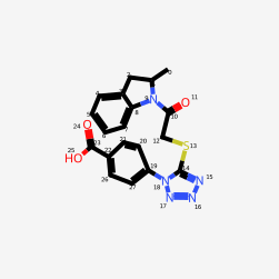 CC1Cc2ccccc2N1C(=O)CSc1nnnn1-c1ccc(C(=O)O)cc1